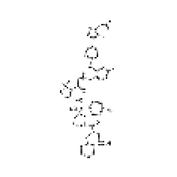 C[C@H](NCc1ccc(Cl)cc1Oc1ccc(-c2cnc(CN(C)C)n2C)cc1)C(=O)N1[C@H](C(=O)N[C@@]2(Cc3ccc(Cl)cc3)CCCN(C(=O)C(CC(=O)O)Cc3ccccc3)C2)COC1(C)C